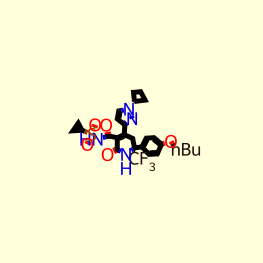 CCCCOc1ccc([C@]2(C(F)(F)F)CC(c3ccn(C4CCC4)n3)=C(C(=O)NS(=O)(=O)C3CC3)C(=O)N2)cc1